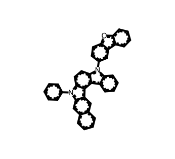 c1ccc(-n2c3cc4ccccc4cc3c3c4c5ccccc5n(-c5ccc6oc7ccccc7c6c5)c4ccc32)cc1